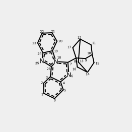 c1ccc2c(c1)nc(C13CC4CC(CC(C4)C1)C3)n1c3ccccc3nc21